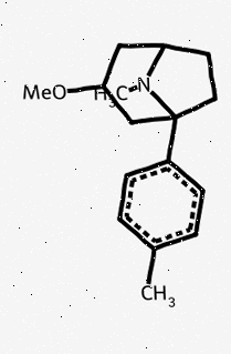 COC1CC2CCC(c3ccc(C)cc3)(C1)N2C